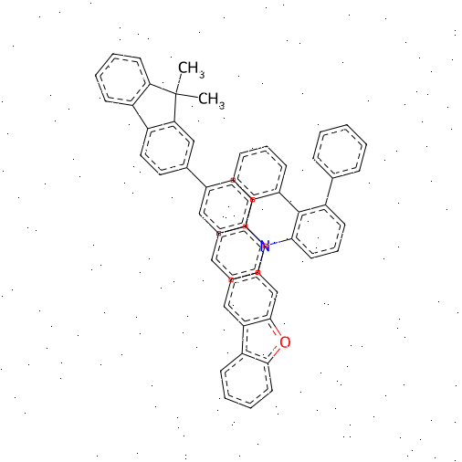 CC1(C)c2ccccc2-c2ccc(-c3ccc(N(c4ccc5c(c4)oc4ccccc45)c4cccc(-c5ccccc5)c4-c4ccccc4-c4ccccc4)cc3)cc21